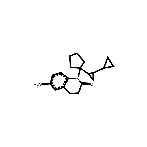 Nc1ccc2c(c1)CCC(=O)N2C1(C2CC2C2CC2)CCCC1